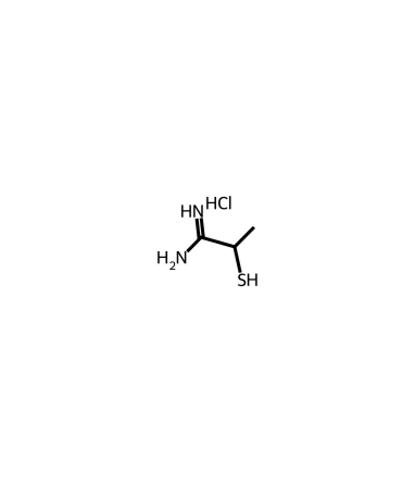 CC(S)C(=N)N.Cl